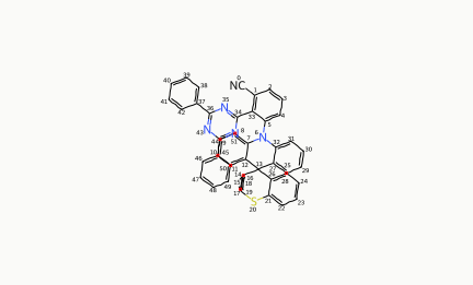 N#Cc1cccc(N2c3ccccc3C3(c4ccccc4Sc4ccccc43)c3ccccc32)c1-c1nc(-c2ccccc2)nc(-c2ccccc2)n1